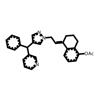 CC(=O)Oc1cccc2c1CCCC2=CCn1cc(C(c2ccccc2)c2cccnc2)cn1